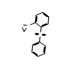 O=S(=O)(c1ccccc1)c1ccccc1N1CO1